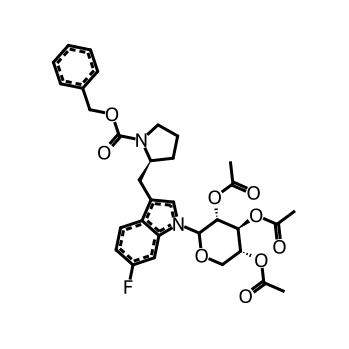 CC(=O)O[C@H]1[C@H](OC(C)=O)COC(n2cc(C[C@@H]3CCCN3C(=O)OCc3ccccc3)c3ccc(F)cc32)[C@@H]1OC(C)=O